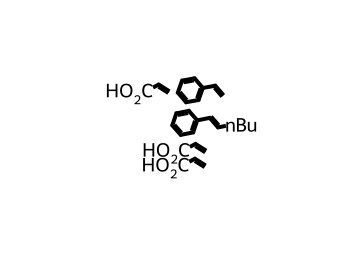 C=CC(=O)O.C=CC(=O)O.C=CC(=O)O.C=Cc1ccccc1.CCCCC=Cc1ccccc1